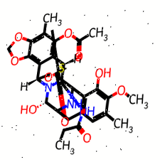 CCC(=O)NC1CS[C@@H]2c3c(OC(C)=O)c(C)c4c(c3[C@H](COC1=O)N1C2C2NC(Cc3cc(C)c(OC)c(O)c32)[C@@H]1O)OCO4